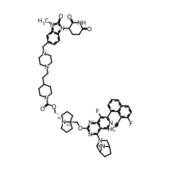 C#Cc1c(F)ccc2cccc(-c3ncc4c(N5CC6CCC(C5)N6)nc(OC[C@@]56CCCN5[C@H](COC(=O)N5CCC(CCN7CCN(Cc8ccc9c(c8)n(C)c(=O)n9C8CCC(=O)NC8=O)CC7)CC5)CC6)nc4c3F)c12